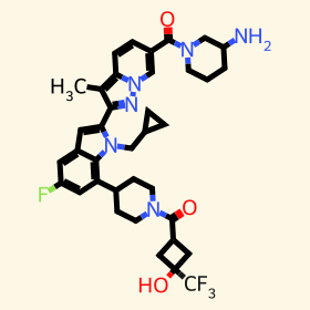 Cc1c(-c2cc3cc(F)cc(C4CCN(C(=O)C5CC(O)(C(F)(F)F)C5)CC4)c3n2CC2CC2)nn2cc(C(=O)N3CCCC(N)C3)ccc12